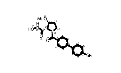 CCCc1ccc(-c2ccc(C(=O)N3CC[C@H](OC)[C@H]3C(=O)NO)cc2)cc1